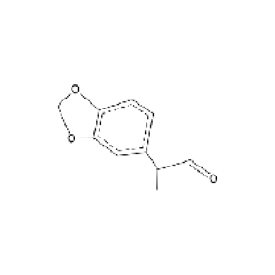 CC(C=O)c1ccc2c(c1)OCO2